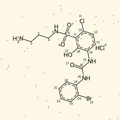 Cl.NCCCNS(=O)(=O)c1c(Cl)ccc(NC(=O)Nc2ccccc2Br)c1O